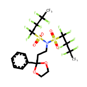 O=S(=O)(N(CCC1(c2ccccc2)OCCO1)S(=O)(=O)C(F)(F)C(F)(F)C(F)(F)C(F)(F)F)C(F)(F)C(F)(F)C(F)(F)C(F)(F)F